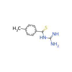 Cc1ccc(C(=S)NC(=N)N)cc1